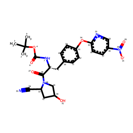 CC(C)(C)OC(=O)N[C@H](Cc1ccc(Oc2ccc([N+](=O)[O-])cn2)cc1)C(=O)N1CC(O)CC1C#N